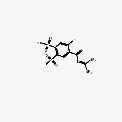 CCCCS(=O)(=O)c1cc(CC)c(C(=O)N=C(N)N)cc1S(C)(=O)=O